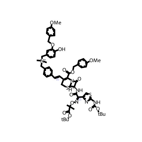 COc1ccc(COC(=O)C2=C(/C=C/c3ccc(C[N+](C)(C)Cc4ccc(O)c(OCc5ccc(OC)cc5)c4)cc3)CS[C@@H]3[C@H](NC(=O)/C(=N\OC(C)(C)C(=O)OC(C)(C)C)c4csc(NC(=O)OC(C)(C)C)n4)C(=O)N23)cc1